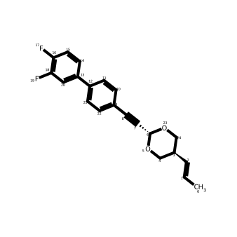 CC=C[C@H]1CO[C@H](C#Cc2ccc(-c3ccc(F)c(F)c3)cc2)OC1